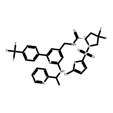 CC(Nc1cc(CNC(=O)[C@@H]2CC(F)(F)CN2S(=O)(=O)c2ccc(Cl)s2)cc(-c2ccc(C(F)(F)F)cc2)n1)c1ccccn1